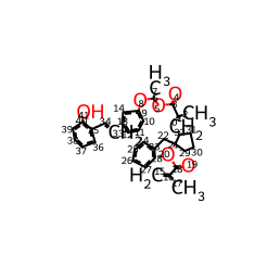 C=C(C)C(=O)OC(C)Oc1ccccc1.C=C(C)C(=O)OC1(Cc2ccccc2)CCCC1.C=Cc1ccccc1O